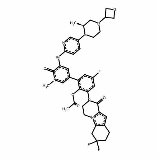 CC(=O)Oc1c(-c2cc(Nc3ccc(N4CCN(C5COC5)C[C@@H]4C)cn3)c(=O)n(C)c2)cc(F)cc1N1CCn2c(cc3c2CC(F)(F)CC3)C1=O